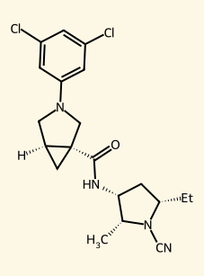 CC[C@H]1C[C@@H](NC(=O)[C@]23C[C@H]2CN(c2cc(Cl)cc(Cl)c2)C3)[C@@H](C)N1C#N